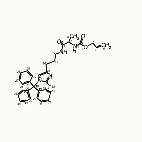 C=CCOC(=O)NC(C)C(=O)NCCCc1cn(C(c2ccccc2)(c2ccccc2)c2ccccc2)c(F)n1